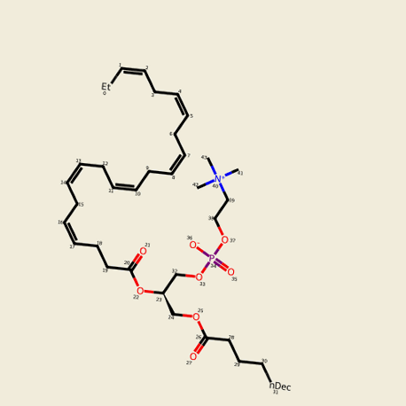 CC/C=C\C/C=C\C/C=C\C/C=C\C/C=C\C/C=C\CCC(=O)O[C@H](COC(=O)CCCCCCCCCCCCC)COP(=O)([O-])OCC[N+](C)(C)C